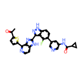 CC(=O)c1ccc(-c2nccc3[nH]c(-c4n[nH]c5ccc(-c6cncc(NC(=O)C7CC7)c6)c(F)c45)nc23)s1